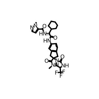 CNC(=O)C1(N2CC(C(F)(F)F)NC2=O)Cc2ccc(NC(=O)[C@@H](NC(=O)c3ccnn3C)C3CCCCC3)cc2C1